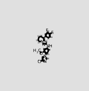 COc1cc(Nc2nc3n(n2)CCCC[C@H]3c2ccc(F)c(F)c2)ccc1-n1cnc(Cl)c1